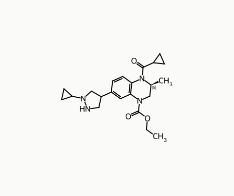 CCOC(=O)N1C[C@H](C)N(C(=O)C2CC2)c2ccc(C3CNN(C4CC4)C3)cc21